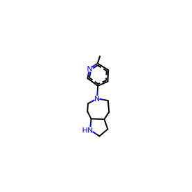 Cc1ccc(N2CCC3CCNC3CC2)cn1